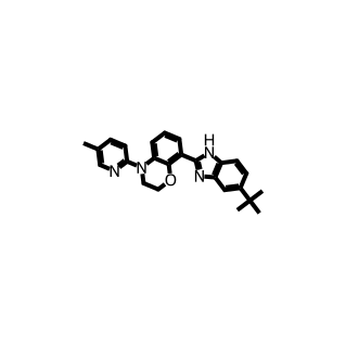 Cc1ccc(N2CCOc3c(-c4nc5cc(C(C)(C)C)ccc5[nH]4)cccc32)nc1